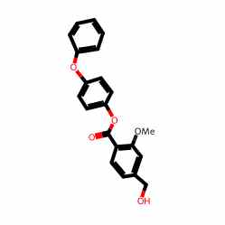 COc1cc(CO)ccc1C(=O)Oc1ccc(Oc2ccccc2)cc1